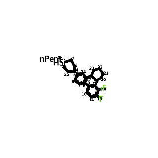 CCCCC[Si@H]1CC[C@H](c2ccc(-c3ccc(F)c(F)c3)c(C3CCCCC3)c2)CC1